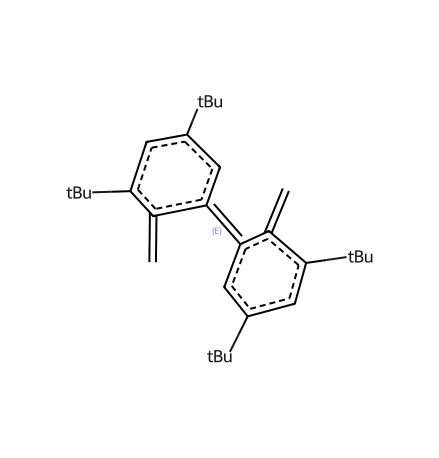 C=c1c(C(C)(C)C)cc(C(C)(C)C)c/c1=c1/cc(C(C)(C)C)cc(C(C)(C)C)c1=C